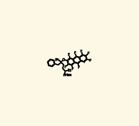 CCCCCCC(CC)CC[Si](Cc1ccccc1)(Oc1c(F)c(F)c2c(F)c3[c]c(F)c(F)c(F)c3c(F)c2c1F)C(C)C